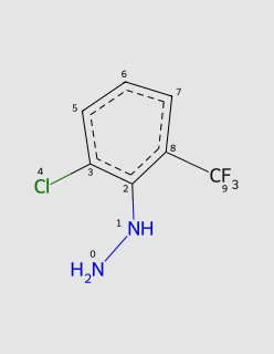 NNc1c(Cl)cccc1C(F)(F)F